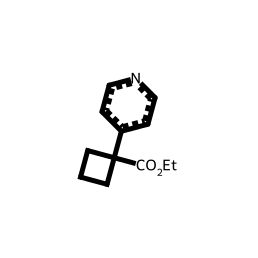 CCOC(=O)C1(c2ccncc2)CCC1